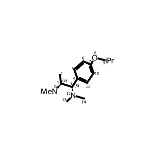 CN[C@@H](C)[C@H](c1ccc(OC(C)C)cc1)N(C)C